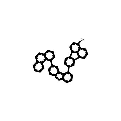 N#Cc1ccc2c3c(cccc13)-c1cc(-c3cccc4sc5ccc(-c6cccc7ccc8ccccc8c67)cc5c34)ccc1-2